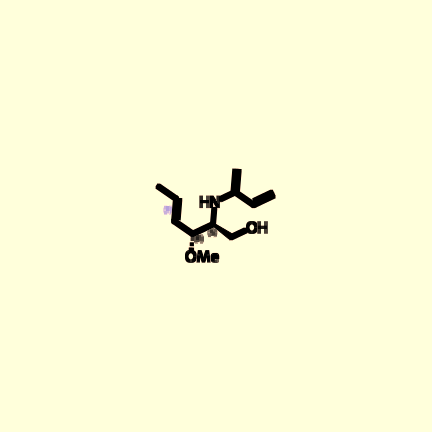 C=CC(=C)N[C@@H](CO)[C@@H](/C=C/C)OC